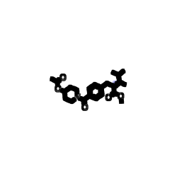 COC(=O)/C(Cc1ccc(C(=O)N2CCC(OC(C)=O)CC2)cc1)=C(\C)C(C)C